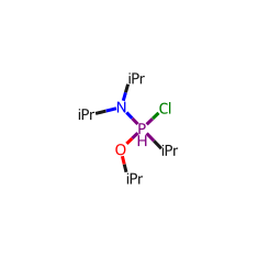 CC(C)O[PH](Cl)(C(C)C)N(C(C)C)C(C)C